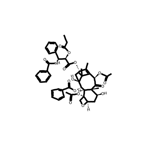 CCC(=O)O[C@@H](C(=O)O[C@H]1C[C@@]2(O)[C@@H](OC(=O)c3ccccc3)[C@@H]3[C@]4(OC(C)=O)CO[C@@H]4C[C@H](O)[C@@]3(C)C(=O)[C@H](OC(C)=O)C(=C1C)C2(C)C)[C@@H](NC(=O)c1ccccc1)c1ccccc1